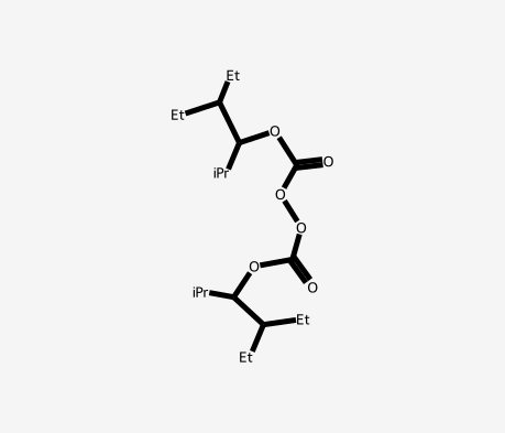 CCC(CC)C(OC(=O)OOC(=O)OC(C(C)C)C(CC)CC)C(C)C